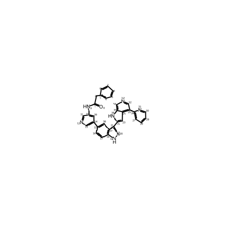 O=C(Cc1ccccc1)Nc1cncc(-c2ccc3[nH]nc(-c4cc5c(-c6ccccn6)cncc5[nH]4)c3c2)c1